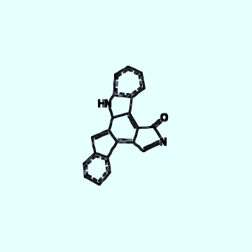 O=C1N=CC2=C3C(=Cc4ccccc43)C3Nc4ccccc4C3=C12